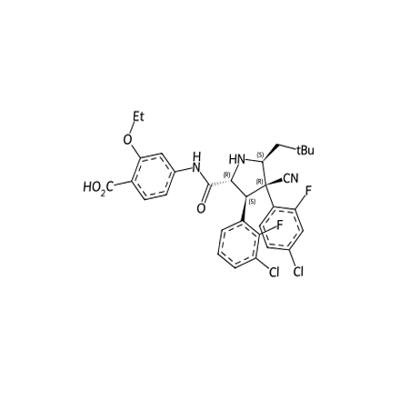 CCOc1cc(NC(=O)[C@@H]2N[C@@H](CC(C)(C)C)[C@](C#N)(c3ccc(Cl)cc3F)[C@H]2c2cccc(Cl)c2F)ccc1C(=O)O